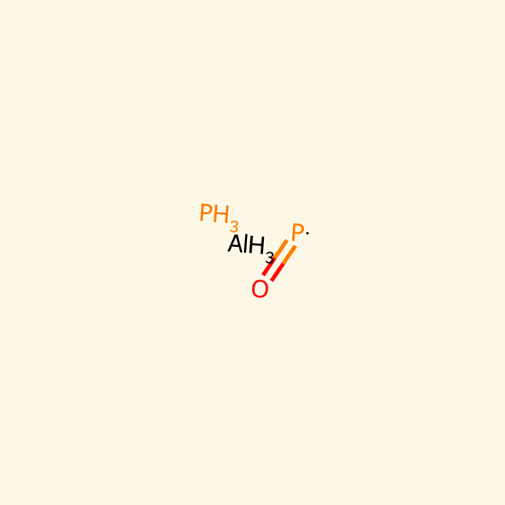 O=[P].P.[AlH3]